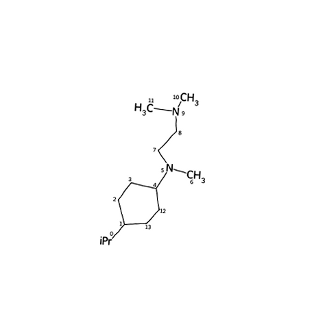 CC(C)C1CCC(N(C)CCN(C)C)CC1